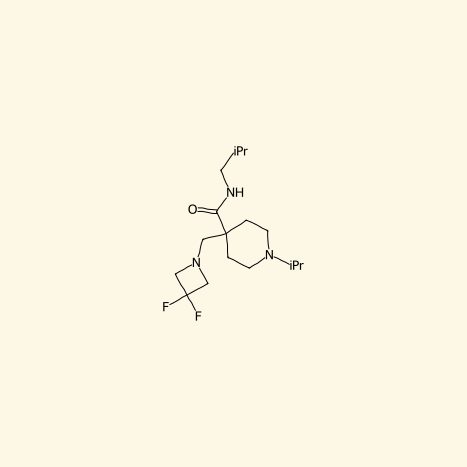 CC(C)CNC(=O)C1(CN2CC(F)(F)C2)CCN(C(C)C)CC1